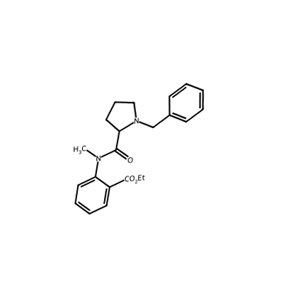 CCOC(=O)c1ccccc1N(C)C(=O)C1CCCN1Cc1ccccc1